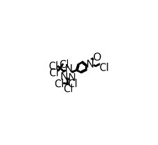 O=CN(CCCl)c1ccc(-c2nc(C(Cl)(Cl)Cl)nc(C(Cl)(Cl)Cl)n2)cc1